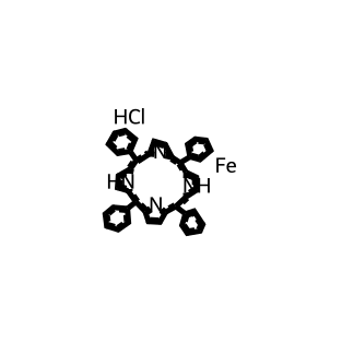 C1=Cc2nc1c(-c1ccccc1)c1ccc([nH]1)c(-c1ccccc1)c1nc(c(-c3ccccc3)c3ccc([nH]3)c2-c2ccccc2)C=C1.Cl.[Fe]